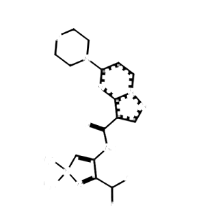 C[N+]1(C)C=C(NC(=O)c2cnn3ccc(N4CCOCC4)nc23)C(C(F)F)=N1